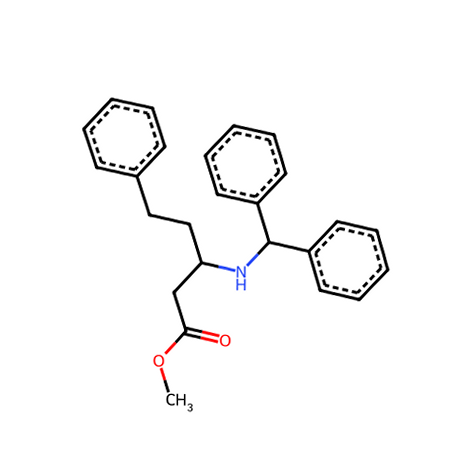 COC(=O)CC(CCc1ccccc1)NC(c1ccccc1)c1ccccc1